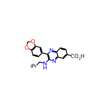 CC(C)CNc1nc2cc(C(=O)O)ccc2nc1-c1ccc2c(c1)OCO2